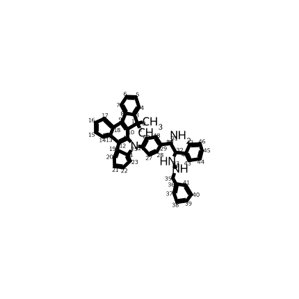 CC1(C)c2ccccc2-c2c1c1c(c3ccccc23)c2ccccc2n1-c1ccc([C@H](N)C(NNCc2ccccc2)c2ccccc2)cc1